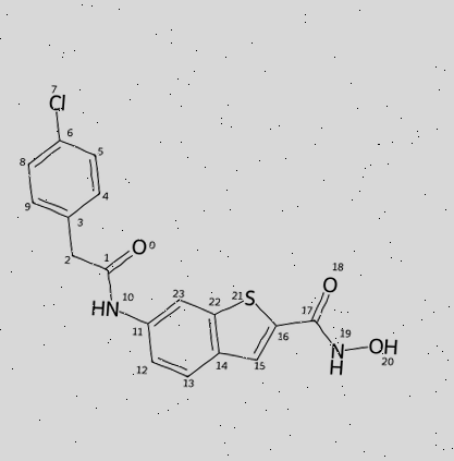 O=C(Cc1ccc(Cl)cc1)Nc1ccc2cc(C(=O)NO)sc2c1